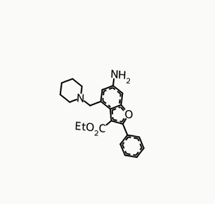 CCOC(=O)c1c(-c2ccccc2)oc2cc(N)cc(CN3CCCCC3)c12